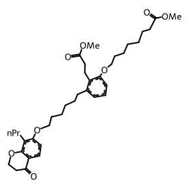 CCCc1c(OCCCCCCc2cccc(OCCCCCCCC(=O)OC)c2CCC(=O)OC)ccc2c1OCCC2=O